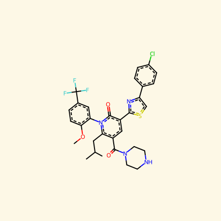 COc1ccc(C(F)(F)F)cc1-n1c(CC(C)C)c(C(=O)N2CCNCC2)cc(-c2nc(-c3ccc(Cl)cc3)cs2)c1=O